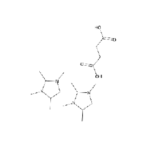 CC1CN(C)C(C)N1C.CC1CN(C)C(C)N1C.O=C(O)CCC(=O)O